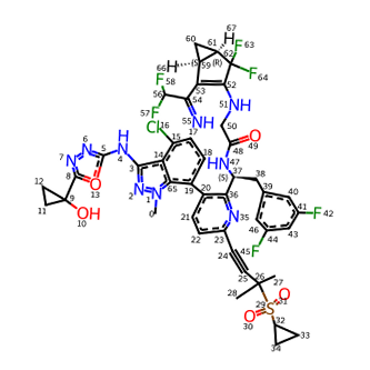 Cn1nc(Nc2nnc(C3(O)CC3)o2)c2c(Cl)ccc(-c3ccc(C#CC(C)(C)S(=O)(=O)C4CC4)nc3[C@H](Cc3cc(F)cc(F)c3)NC(=O)CNC3=C(C(=N)C(F)F)[C@H]4C[C@H]4C3(F)F)c21